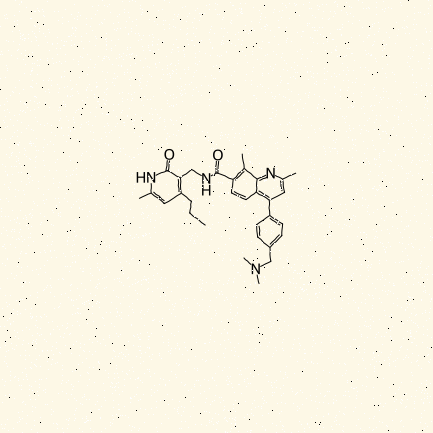 CCCc1cc(C)[nH]c(=O)c1CNC(=O)c1ccc2c(-c3ccc(CN(C)C)cc3)cc(C)nc2c1C